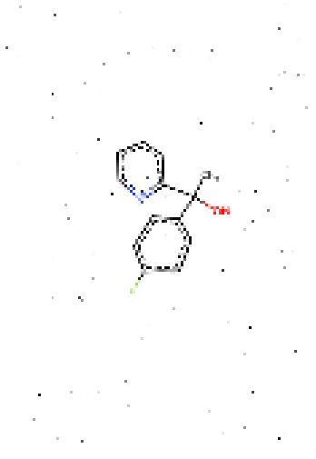 OC(c1ccc(F)cc1)(c1ccccn1)C(F)(F)F